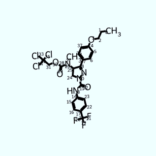 CCCOc1ccc(C2=NN(C(=O)Nc3ccc(C(F)(F)F)cc3)CC2N(C)C(=O)OCC(Cl)(Cl)Cl)cc1